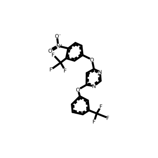 O=[N+]([O-])c1ccc(Oc2cc(Oc3cccc(C(F)(F)F)c3)ncn2)cc1C(F)(F)F